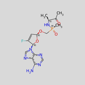 CC(=O)[C@H](C)N[P@](C)(=O)CO[C@@H]1C=C(F)[C@H](n2cnc3c(N)ncnc32)O1